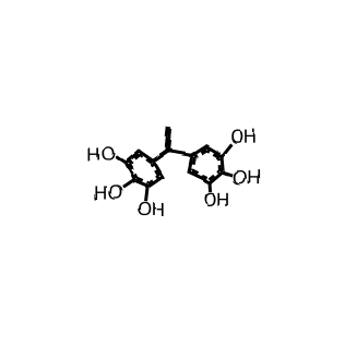 C=C(c1cc(O)c(O)c(O)c1)c1cc(O)c(O)c(O)c1